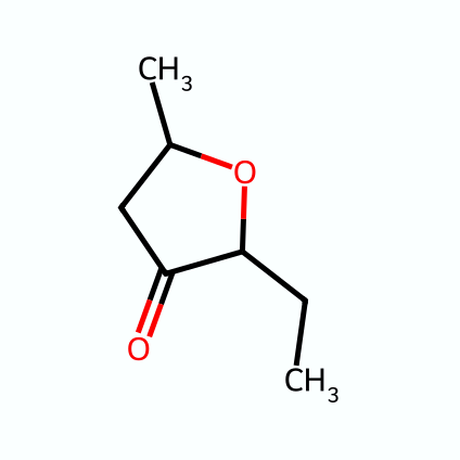 CCC1OC(C)CC1=O